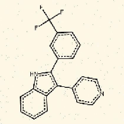 FC(F)(F)c1cccc(-c2[nH]c3ccccc3c2-c2ccncc2)c1